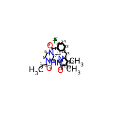 CCC(=O)N1CCN(C(=O)c2cc(Cc3n[nH]c(=O)c(C)c3C)ccc2F)CC1